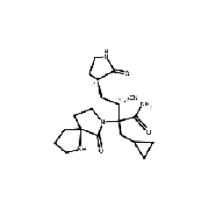 N#C[C@@H](C[C@H]1CCNC1=O)C(CC1CC1)(C(N)=O)N1CCC2(CCCN2)C1=O